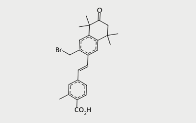 Cc1cc(/C=C/c2cc3c(cc2CBr)C(C)(C)C(=O)CC3(C)C)ccc1C(=O)O